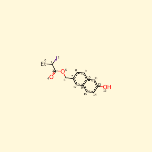 CCC(I)C(=O)OCc1ccc2cc(O)ccc2c1